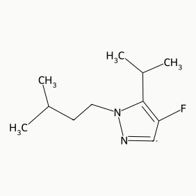 CC(C)CCn1n[c]c(F)c1C(C)C